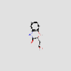 O=CCC1Oc2ccccc2NC1=O